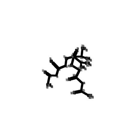 CC(=O)CC(=O)C[O][Ti](=[O])([O]CC(=O)CC(C)=O)([CH](C)C)[CH](C)C